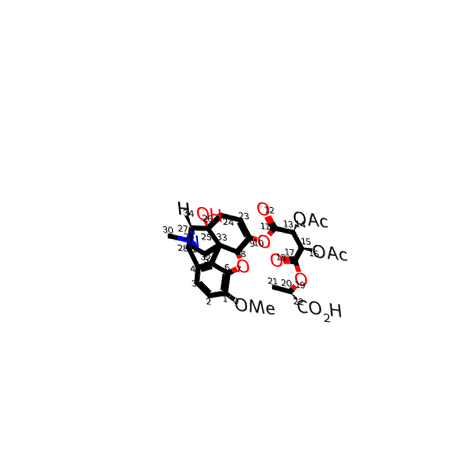 COc1ccc2c3c1OC1C(OC(=O)[C@H](OC(C)=O)[C@@H](OC(C)=O)C(=O)O[C@@H](C)C(=O)O)=CC[C@@]4(O)[C@@H](C2)N(C)CCC314